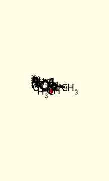 CC#Cc1cc(C)c(C2C(=O)CCCN(C(=O)c3ccccc3I)CCCC2O)c(C)c1